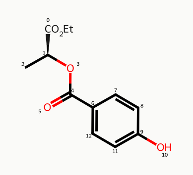 CCOC(=O)[C@H](C)OC(=O)c1ccc(O)cc1